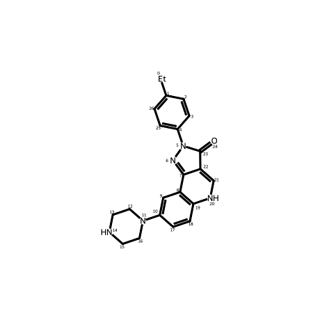 CCc1ccc(-n2nc3c4cc(N5CCNCC5)ccc4[nH]cc-3c2=O)cc1